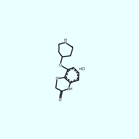 Cl.O=C1COc2c(cccc2OC2CCNCC2)N1